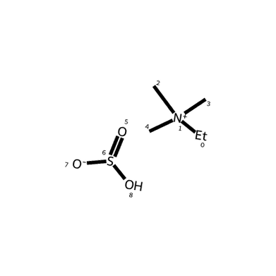 CC[N+](C)(C)C.O=S([O-])O